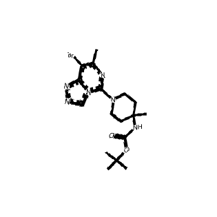 Cc1nc(N2CCC(C)(NC(=O)OC(C)(C)C)CC2)n2cnnc2c1Br